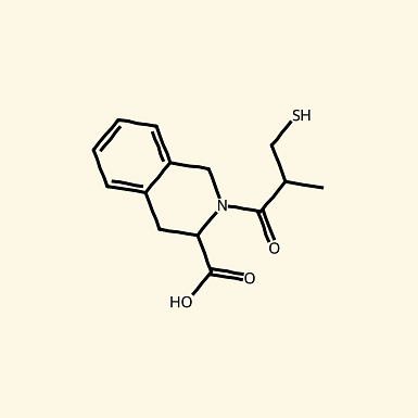 CC(CS)C(=O)N1Cc2ccccc2CC1C(=O)O